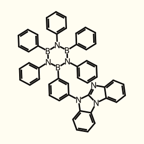 c1ccc(B2N(c3ccccc3)B(c3ccccc3)N(c3ccccc3)B(c3cccc(-n4c5ccccc5n5c6ccccc6nc45)c3)N2c2ccccc2)cc1